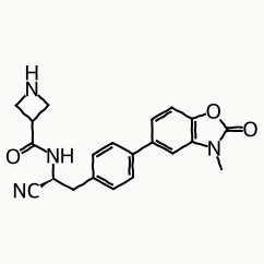 Cn1c(=O)oc2ccc(-c3ccc(C[C@@H](C#N)NC(=O)C4CNC4)cc3)cc21